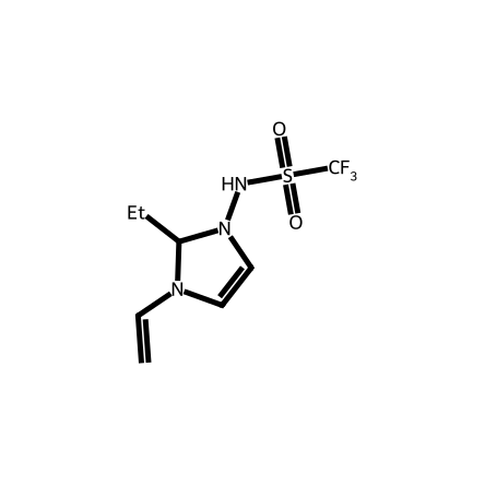 C=CN1C=CN(NS(=O)(=O)C(F)(F)F)C1CC